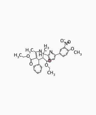 CCOC(=O)C1=C(C)NC(C)(c2nc(-c3ccc(OC)c([N+](=O)[O-])c3)cs2)C(C(=O)OCC)C1c1ccccc1